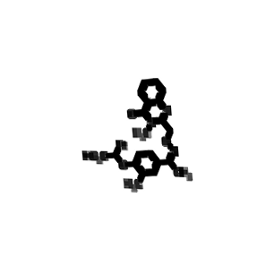 CCC(Oc1ccc(/C(C)=N\OCc2nc3ccccc3c(=O)n2C)cc1C)C(=O)O